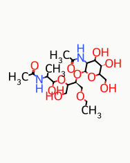 CCOC[C@H](O[C@@H]1OC(CO)[C@@H](O)C(O)[C@@H]1NC(C)=O)C(CO)OC(O)C(C)NC(C)=O